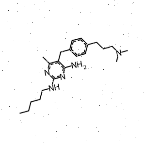 CCCCCNc1nc(C)c(Cc2ccc(CCCN(C)C)cc2)c(N)n1